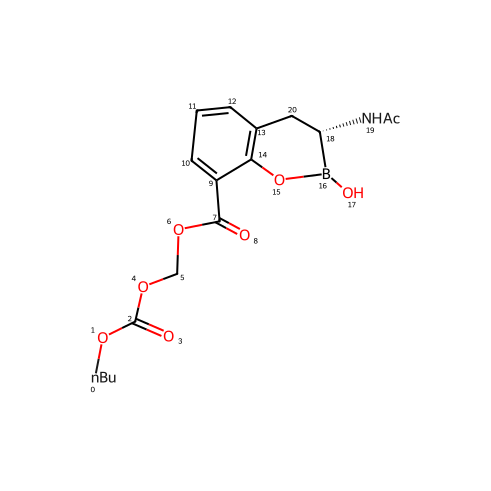 CCCCOC(=O)OCOC(=O)c1cccc2c1OB(O)[C@@H](NC(C)=O)C2